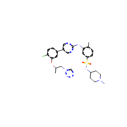 COc1ccc(S(=O)(=O)NC2CCN(C)CC2)cc1Nc1ncc(-c2ccc(Cl)c(OC(C)Cn3cnnn3)c2)cn1